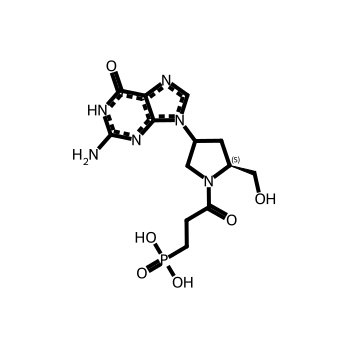 Nc1nc2c(ncn2C2C[C@@H](CO)N(C(=O)CCP(=O)(O)O)C2)c(=O)[nH]1